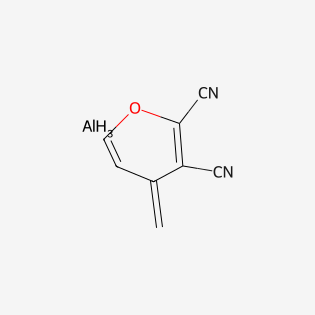 C=C1C=COC(C#N)=C1C#N.[AlH3]